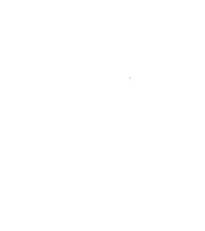 Cl.c1ccc(Cc2ccccn2)cc1